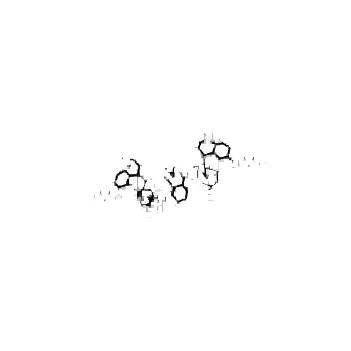 CCC1C[N@@]2CCC1C[C@@H]2[C@@H](COc1nnc(OC[C@@H](c2ccnc3ccc(OC)cc23)[C@H]2C[C@H]3CCN2C[C@@H]3CC)c2ccccc12)c1ccnc2ccc(OC)cc12